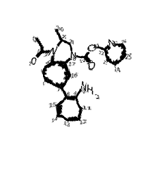 CC(=O)N1c2ccc(C3=C(N)CC=CC=C3)cc2N(C(=O)Oc2ccccn2)CC1C